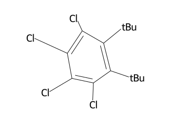 CC(C)(C)c1c(Cl)c(Cl)c(Cl)c(Cl)c1C(C)(C)C